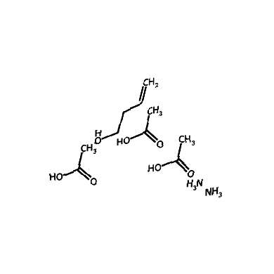 C=CCCO.CC(=O)O.CC(=O)O.CC(=O)O.N.N